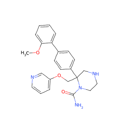 COc1ccccc1-c1ccc(C2(COc3cccnc3)CNCCN2C(N)=O)cc1